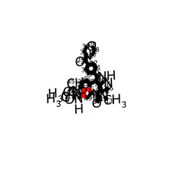 COC(=O)N[C@@H]1CC[C@@H](n2c(=O)n(C)c3cnc4[nH]c(-c5ccc(C(=O)N6CCOCC6)cc5)c(-c5ccc6c(cnn6C(C)C)c5)c4c32)C1